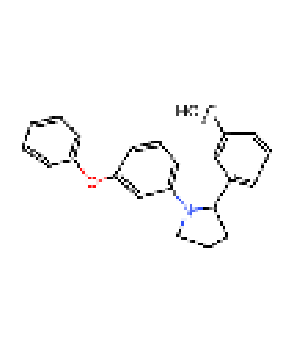 O=C(O)c1cccc(C2CCCN2c2cccc(Oc3ccccc3)c2)c1